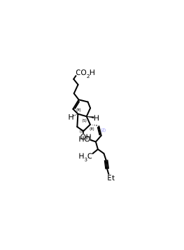 CCC#CCC(C)C(O)/C=C\[C@H]1[C@H]2CCC(CCCC(=O)O)=C[C@@H]2C[C@@H]1O